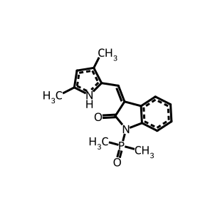 Cc1cc(C)c(/C=C2\C(=O)N(P(C)(C)=O)c3ccccc32)[nH]1